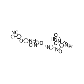 CC(C)n1ccc2c(N3CCC(=O)NC3=O)cc(C(=O)N(C)CC3CCN(CCCOc4ccc(C(=O)N[C@H]5CC[C@H](Oc6ccc(C#N)c(Cl)c6)CC5)nc4)CC3)cc21